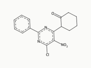 O=C1CCCCC1c1nc(-c2ccccc2)nc(Cl)c1[N+](=O)[O-]